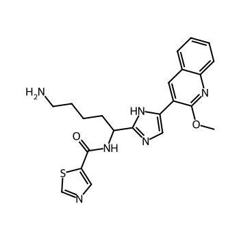 COc1nc2ccccc2cc1-c1cnc(C(CCCCN)NC(=O)c2cncs2)[nH]1